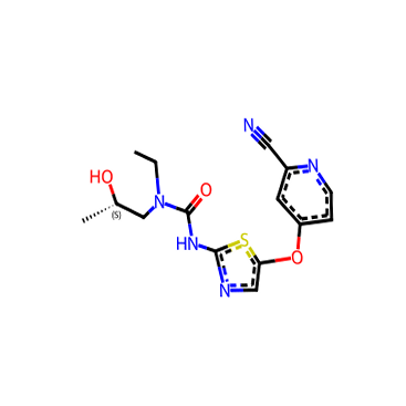 CCN(C[C@H](C)O)C(=O)Nc1ncc(Oc2ccnc(C#N)c2)s1